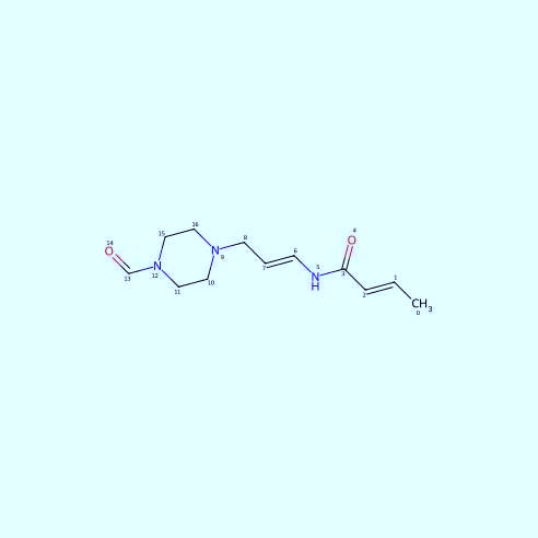 CC=CC(=O)NC=CCN1CCN(C=O)CC1